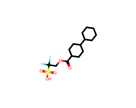 O=C(OCC(F)(F)S(=O)(=O)O)C1CCC(C2CCCCC2)CC1